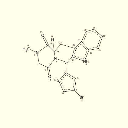 CN1CC(=O)N2[C@@H](c3cc(Br)cs3)c3[nH]c4ccccc4c3C[C@@H]2C1=O